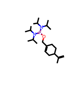 C=C(C)C1CC=C(COP(N(C(C)C)C(C)C)N(C(C)C)C(C)C)CC1